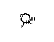 Cl.FC1CNCCOC1